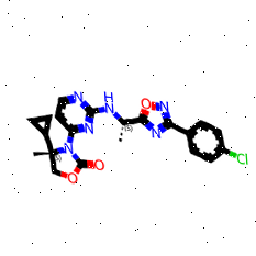 C[C@H](Nc1nccc(N2C(=O)OC[C@]2(C)C2CC2)n1)c1nc(-c2ccc(Cl)cc2)no1